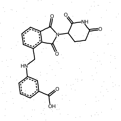 O=C1CCC(N2C(=O)c3cccc(CNc4cccc(C(=O)O)c4)c3C2=O)C(=O)N1